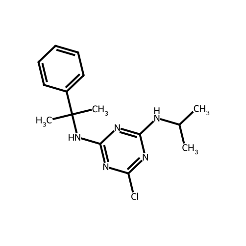 CC(C)Nc1nc(Cl)nc(NC(C)(C)c2ccccc2)n1